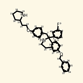 Fc1cccc(C2(Cc3ccc(OCCC4CCCCN4)cc3)NCCc3cc(OCc4ccccc4)ccc32)c1